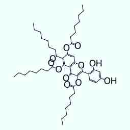 CCCCCCCC(=O)Oc1cc2oc(-c3ccc(O)cc3O)c(OC(=O)CCCCCCC)c(=O)c2c(OC(=O)CCCCCCC)c1C(=O)CCCCCCC